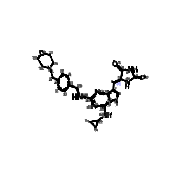 O=C1NC(=O)/C(=C/c2cnn3c(NC4CC4)nc(NCc4ccc(CN5CCOCC5)cc4)nc23)N1